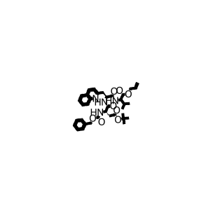 C=CCOC(=O)C(NC(=O)[C@H](Cc1ccc2ccccc2n1)NC(=O)[C@H](CC(=O)OC(C)(C)C)NC(=O)OCc1ccccc1)C(C)C